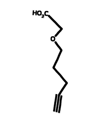 C#CCCCOCC(=O)O